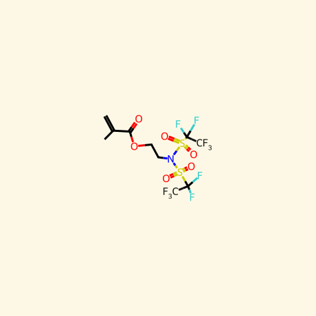 C=C(C)C(=O)OCCN(S(=O)(=O)C(F)(F)C(F)(F)F)S(=O)(=O)C(F)(F)C(F)(F)F